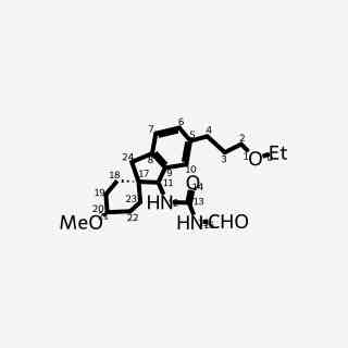 CCOCCCc1ccc2c(c1)C(NC(=O)NC=O)[C@]1(CC[C@H](OC)CC1)C2